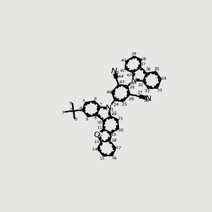 CC(C)(C)c1ccc2c(c1)c1c3oc4ccccc4c3ccc1n2-c1cc(C#N)c(-n2c3ccccc3c3ccccc32)c(C#N)c1